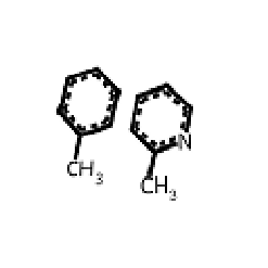 Cc1ccccc1.Cc1ccccn1